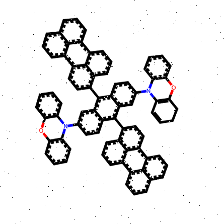 C1=CC2=C(CC1)Oc1ccccc1N2c1ccc2c(-c3ccc4c5cccc6cccc(c7cccc3c74)c65)c3cc(N4c5ccccc5Oc5ccccc54)ccc3c(-c3ccc4c5cccc6cccc(c7cccc3c74)c65)c2c1